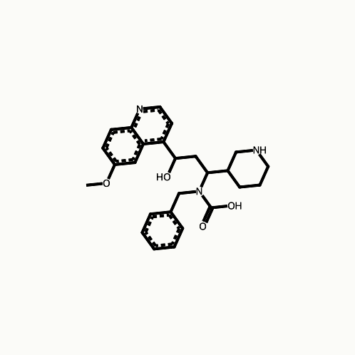 COc1ccc2nccc(C(O)CC(C3CCCNC3)N(Cc3ccccc3)C(=O)O)c2c1